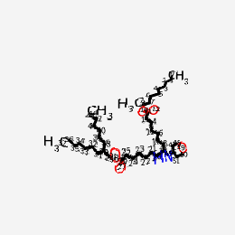 CCCCCCCCC(C)OC(=O)CCCCCCC(CCCCCCC(=O)OCC(CCCCCCC)CCCCCCC)NC1CCOCC1